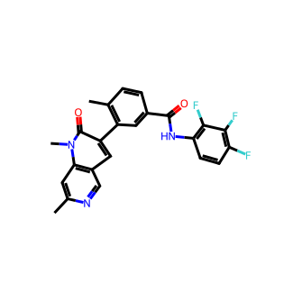 Cc1cc2c(cn1)cc(-c1cc(C(=O)Nc3ccc(F)c(F)c3F)ccc1C)c(=O)n2C